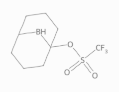 O=S(=O)(OC12BC(CCC1)CCC2)C(F)(F)F